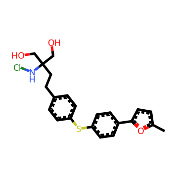 Cc1ccc(-c2ccc(Sc3ccc(CCC(CO)(CO)NCl)cc3)cc2)o1